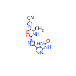 CC(NC(=O)n1cc(-c2ccnc3[nH]c(=O)[nH]c23)cn1)C(=O)N1CC(C#N)C1